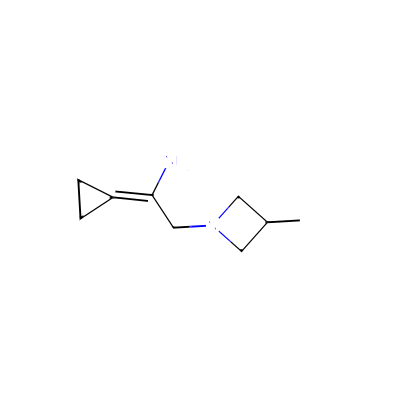 CC1CN(CC(N)=C2CC2)C1